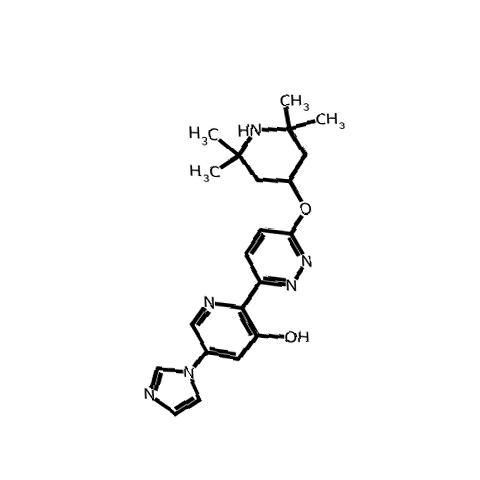 CC1(C)CC(Oc2ccc(-c3ncc(-n4ccnc4)cc3O)nn2)CC(C)(C)N1